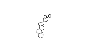 CC12CCC3C(CCC4C[C]CCC43C)C1=CCC2c1ccc(=O)oc1